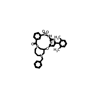 Cc1cccc(C)c1-c1cc2nc(n1)NS(=O)(=O)c1cccc(c1)C(=O)N1CCCN(Cc3ccccc3)CC(C1)O2